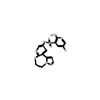 COc1ncc(Cl)cc1S(=O)(=O)Nc1cnc2c(c1)-c1ccnn1CCO2